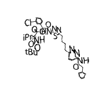 CC(C)[C@H](NC(=O)OC(C)(C)C)C(=O)OC(C(=O)Nc1nnc(CCCCc2ccc(NC(=O)Cc3ccccc3)nn2)s1)c1cccc(Cl)c1